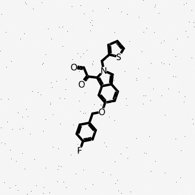 O=CC(=O)c1c2cc(OCc3ccc(F)cc3)ccc2cn1Cc1cccs1